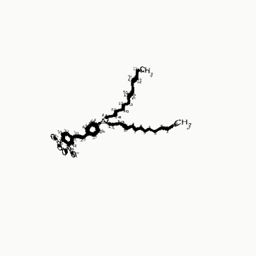 CCCCCCCCCCCCN(CCCCCCCCCCCC)c1ccc(C=Cc2ccc([N+](=O)[O-])c([N+](=O)[O-])c2)cc1